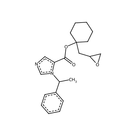 CC(c1ccccc1)n1cncc1C(=O)OC1(CC2CO2)CCCCC1